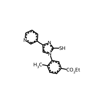 CCOC(=O)c1ccc(C)c(-n2cc(-c3cccnc3)nc2S)c1